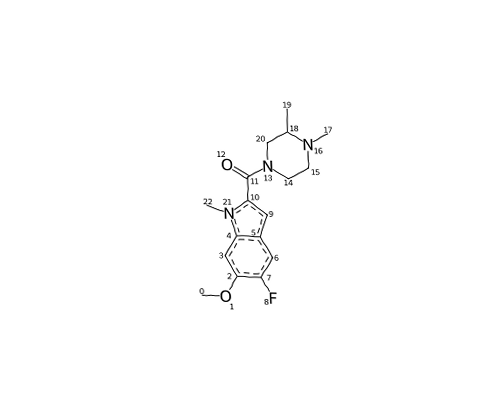 COc1cc2c(cc1F)cc(C(=O)N1CCN(C)C(C)C1)n2C